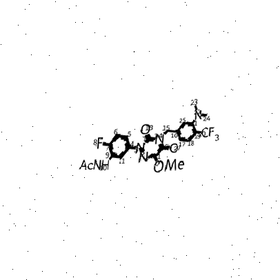 COc1nn(-c2ccc(F)c(NC(C)=O)c2)c(=O)n(Cc2ccc(C(F)(F)F)c(N(C)C)c2)c1=O